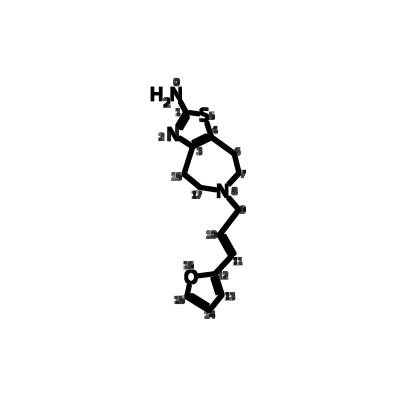 Nc1nc2c(s1)CCN(C/C=C/c1ccco1)CC2